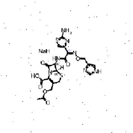 CC(=O)OCC1=C(C(=O)O)N2C(=O)[C@@H](NC(=O)/C(=N\OCc3c[nH]cn3)c3csc(N)n3)[C@H]2SC1.[NaH]